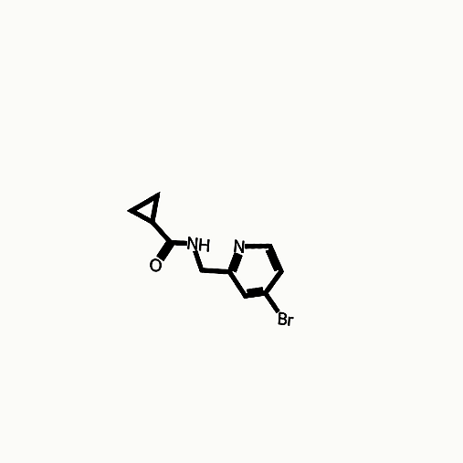 O=C(NCc1cc(Br)ccn1)C1CC1